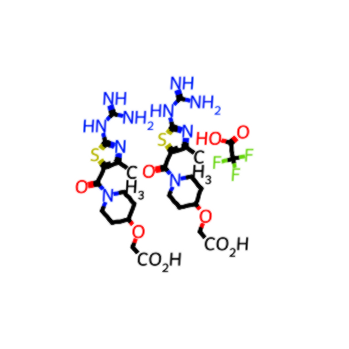 Cc1nc(NC(=N)N)sc1C(=O)N1CCC(OCC(=O)O)CC1.Cc1nc(NC(=N)N)sc1C(=O)N1CCC(OCC(=O)O)CC1.O=C(O)C(F)(F)F